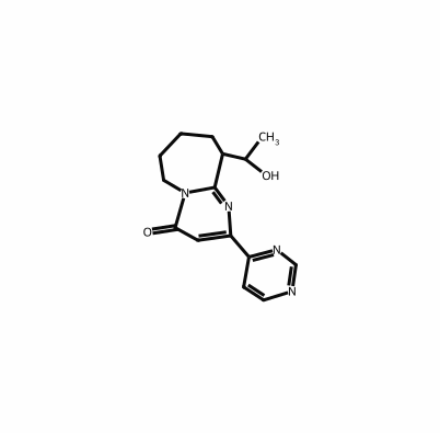 CC(O)C1CCCCn2c1nc(-c1ccncn1)cc2=O